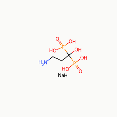 NCCC(O)(P(=O)(O)O)P(=O)(O)O.[NaH]